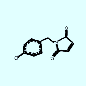 O=C1C=CC(=O)N1Cc1ccc(Cl)cc1